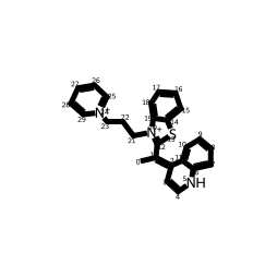 CC(=C1C=CNc2ccccc21)c1sc2ccccc2[n+]1CCC[n+]1ccccc1